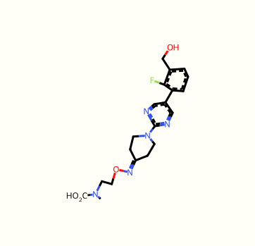 CN(CCON=C1CCN(c2ncc(-c3cccc(CO)c3F)cn2)CC1)C(=O)O